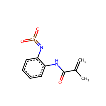 C=C(C)C(=O)Nc1ccccc1N=S(=O)=O